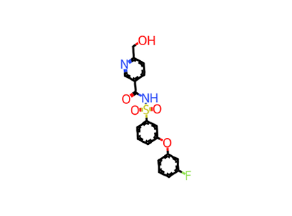 O=C(NS(=O)(=O)c1cccc(Oc2cccc(F)c2)c1)c1ccc(CO)nc1